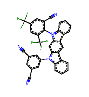 N#Cc1cc(C#N)cc(-n2c3ccccc3c3cc4c5ccccc5n(-c5c(C#N)cc(C(F)(F)F)cc5C(F)(F)F)c4cc32)c1